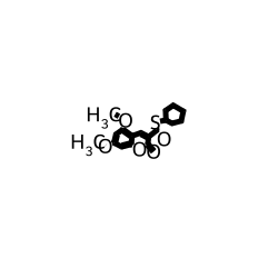 COc1cc(OC)c2cc(C(=O)SC3CCCCC3)c(=O)oc2c1